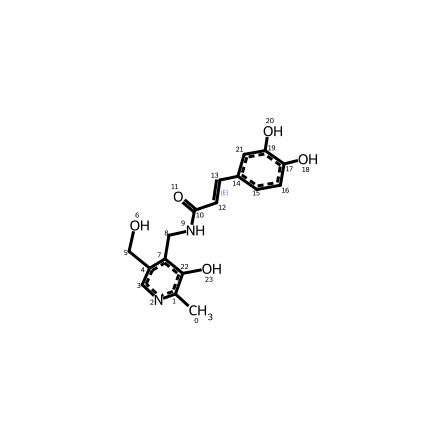 Cc1ncc(CO)c(CNC(=O)/C=C/c2ccc(O)c(O)c2)c1O